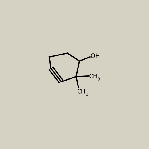 CC1(C)C#CCCC1O